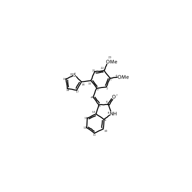 COc1cc(C=C2C(=O)Nc3ccccc32)c(-c2cccs2)cc1OC